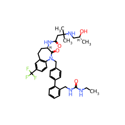 CCNC(=O)NCc1ccccc1-c1ccc(CN2C(=O)[C@H](NC(=O)CC(C)(C)NC[C@@H](C)O)CCc3cc(C(F)(F)F)ccc32)cc1